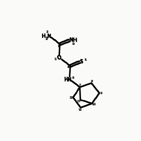 N=C(N)OC(=S)NC12CCC(CC1)C2